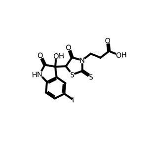 O=C(O)CCN1C(=O)C(C2(O)C(=O)Nc3ccc(I)cc32)SC1=S